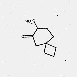 O=C(O)C1CCC2(CCC2)CC1=O